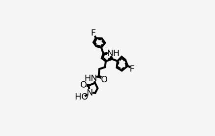 O=C(CCc1cc(-c2ccc(F)cc2)[nH]c1-c1ccc(F)cc1)NC1CCN(O)C1=O